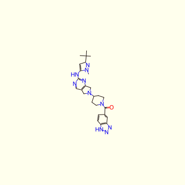 Cn1nc(C(C)(C)C)cc1Nc1ncc2c(n1)CN(C1CCN(C(=O)c3ccc4[nH]nnc4c3)CC1)C2